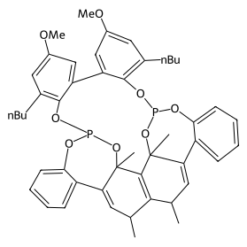 CCCCc1cc(OC)cc2c1OP1Oc3ccccc3C3=CC(C)C4=C(C3(C)O1)C1(C)OP(Oc3ccccc3C1=CC4C)Oc1c(CCCC)cc(OC)cc1-2